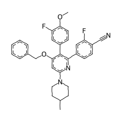 COc1ccc(-c2c(OCc3ccccc3)cc(N3CCC(C)CC3)nc2-c2ccc(C#N)c(F)c2)cc1F